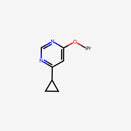 CC(C)Oc1cc(C2CC2)ncn1